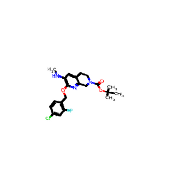 CNc1cc2c(nc1OCc1ccc(Cl)cc1F)CN(C(=O)OC(C)(C)C)CC2